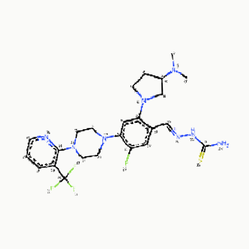 CN(C)[C@@H]1CCN(c2cc(N3CCN(c4ncccc4C(F)(F)F)CC3)c(F)cc2/C=N/NC(N)=S)C1